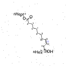 CCCCCCCOC(=O)CCCCCCC/C=C\C[C@H](O)CCCCCC